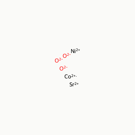 [Co+2].[Ni+2].[O-2].[O-2].[O-2].[Sr+2]